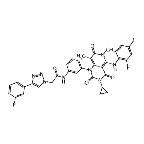 Cc1c(=O)n(C)c(Nc2ccc(I)cc2F)c2c(=O)n(C3CC3)c(=O)n(-c3cccc(NC(=O)Cn4cc(-c5cccc(F)c5)nn4)c3)c12